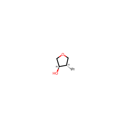 CC(C)[C@H]1COC[C@@H]1O